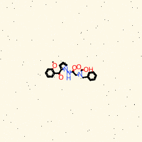 COc1ccccc1C(=O)c1cccn1NC(=O)CN(Cc1ccccc1)C(=O)O